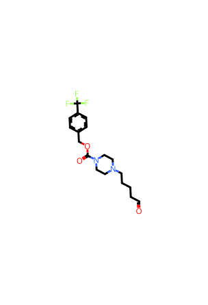 O=CCCCCN1CCN(C(=O)OCc2ccc(C(F)(F)F)cc2)CC1